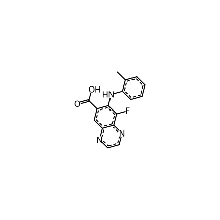 Cc1ccccc1Nc1c(C(=O)O)cc2nccnc2c1F